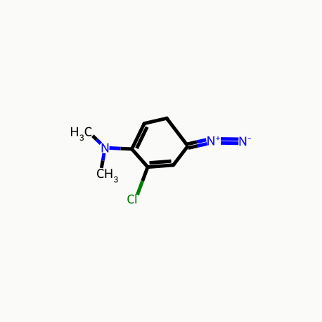 CN(C)C1=CCC(=[N+]=[N-])C=C1Cl